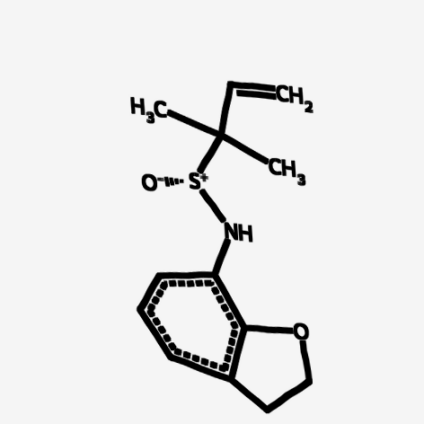 C=CC(C)(C)[S@@+]([O-])Nc1cccc2c1OCC2